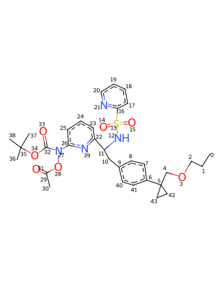 CCCOCC1(c2ccc(CC(NS(=O)(=O)c3ccccn3)c3cccc(N(OC(C)=O)C(=O)OC(C)(C)C)n3)cc2)CC1